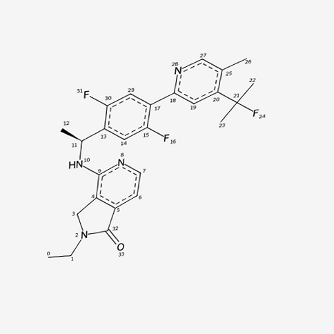 CCN1Cc2c(ccnc2N[C@@H](C)c2cc(F)c(-c3cc(C(C)(C)F)c(C)cn3)cc2F)C1=O